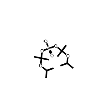 CC(C)OC(C)(C)OP([O])(=O)OC(C)(C)OC(C)C